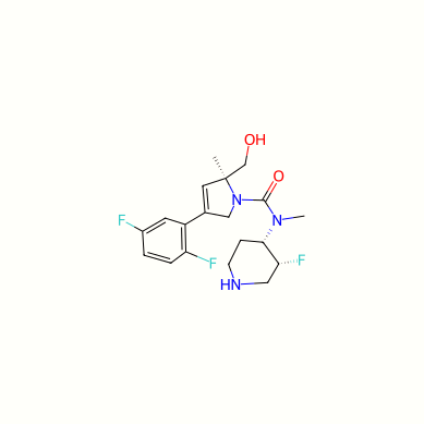 CN(C(=O)N1CC(c2cc(F)ccc2F)=C[C@@]1(C)CO)[C@H]1CCNC[C@H]1F